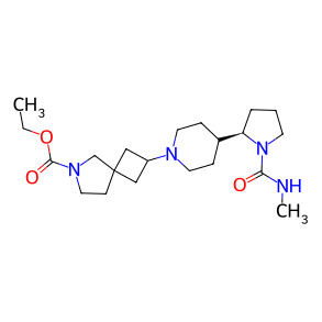 CCOC(=O)N1CCC2(CC(N3CCC([C@H]4CCCN4C(=O)NC)CC3)C2)C1